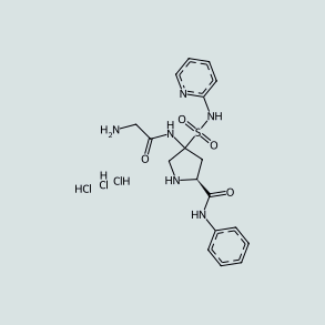 Cl.Cl.Cl.NCC(=O)NC1(S(=O)(=O)Nc2ccccn2)CN[C@H](C(=O)Nc2ccccc2)C1